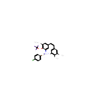 COc1cc(/C=C\c2cc(OC)c(OC)c(OC)c2)cc(NS(=O)(=O)c2ccc(Cl)cc2)c1OC(I)(I)I